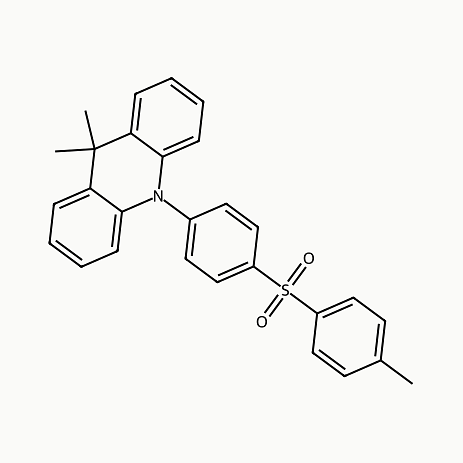 Cc1ccc(S(=O)(=O)c2ccc(N3c4ccccc4C(C)(C)c4ccccc43)cc2)cc1